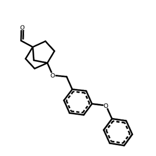 O=CC12CCC(OCc3cccc(Oc4ccccc4)c3)(CC1)C2